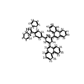 c1ccc(-c2nc3ccccn3c2-c2ccc(-c3cc(-c4cc5ccccc5c5ccccc45)cc(-c4cc5ccccc5c5ccccc45)n3)cc2)cc1